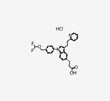 Cl.O=C(O)CCc1ccc2c(c1)c(CCc1ccccn1)cn2-c1ccc(COC(F)F)cc1